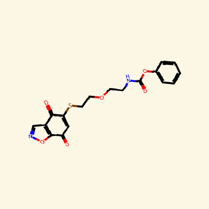 O=C(NCCOCCSC1=CC(=O)c2oncc2C1=O)Oc1ccccc1